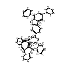 c1ccc(-c2cc(-c3ccccc3)c3oc4cc(-c5nc(-c6ccccc6)nc(-c6ccccc6-n6c7ccccc7c7ccccc76)n5)ccc4c3c2)cc1